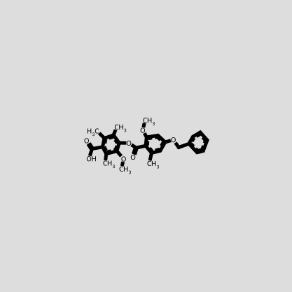 COc1cc(OCc2ccccc2)cc(C)c1C(=O)Oc1c(C)c(C)c(C(=O)O)c(C)c1OC